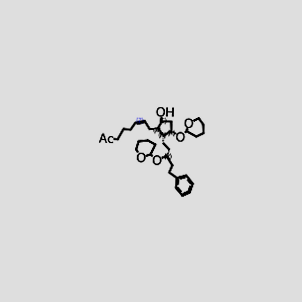 CC(=O)CCC/C=C\C[C@@H]1[C@@H](CC[C@H](CCc2ccccc2)OC2CCCCO2)[C@H](OC2CCCCO2)C[C@@H]1O